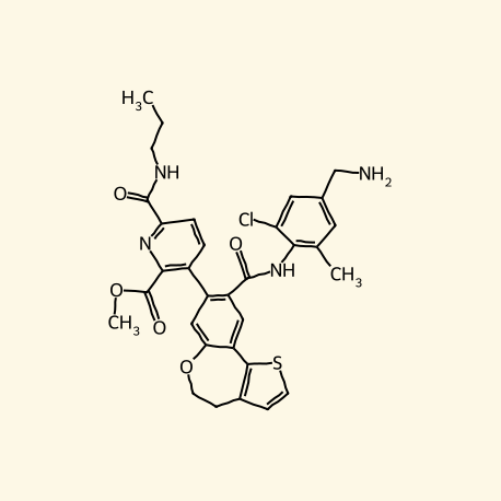 CCCNC(=O)c1ccc(-c2cc3c(cc2C(=O)Nc2c(C)cc(CN)cc2Cl)-c2sccc2CCO3)c(C(=O)OC)n1